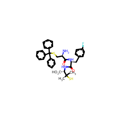 CC(C)(S)[C@@H](NC(=O)[C@H](Cc1ccc(F)cc1)NC(=O)[C@H](N)CSC(c1ccccc1)(c1ccccc1)c1ccccc1)C(=O)O